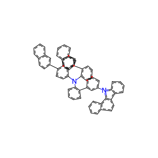 c1cc(-c2ccccc2N(c2ccccc2-c2ccc3ccccc3c2)c2ccc(-c3ccc4ccccc4c3)c3ccccc23)cc(-n2c3ccccc3c3ccc4ccccc4c32)c1